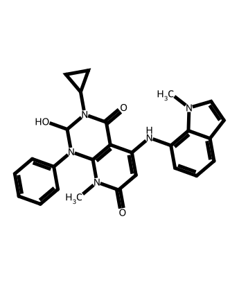 Cn1c2c(c(Nc3cccc4ccn(C)c34)cc1=O)C(=O)N(C1CC1)C(O)N2c1ccccc1